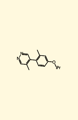 Cc1cc(OC(C)C)ccc1-c1cnncc1C